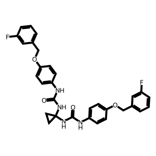 O=C(Nc1ccc(OCc2cccc(F)c2)cc1)NC1(NC(=O)Nc2ccc(OCc3cccc(F)c3)cc2)CC1